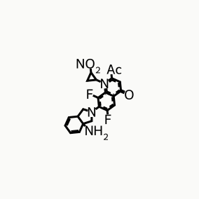 CC(=O)c1cc(=O)c2cc(F)c(N3CC4C=CC=CC4(N)C3)c(F)c2n1C1CC1[N+](=O)[O-]